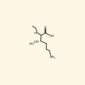 CCNC(CCCCN)C(=O)O.Cl.Cl